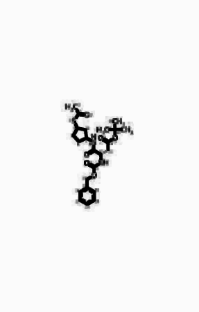 CC(=O)SC1CCC(NC(=O)[C@H](CC(=O)OC(C)(C)C)NC(=O)OCc2ccccc2)C1